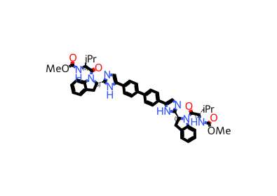 COC(=O)N[C@H](C(=O)N1c2ccccc2C[C@H]1c1ncc(-c2ccc(-c3ccc(-c4cnc([C@@H]5Cc6ccccc6N5C(=O)[C@@H](NC(=O)OC)C(C)C)[nH]4)cc3)cc2)[nH]1)C(C)C